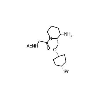 CC(=O)NCC(=O)N1CCC[C@H](N)[C@@H]1CO[C@H]1CC[C@@H](C(C)C)CC1